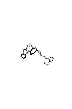 CC1Cc2ccccc2N1c1ccc(OCCCN2CCC[C@H]2C)cc1